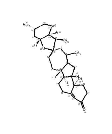 CC1C[C@]2(CC[C@@H]3C1C[C@H]1[C@H]3CCC3=CC(=O)CC[C@@]31C)O[C@@H]1C[C@H](C)CN[C@H]1[C@H]2C